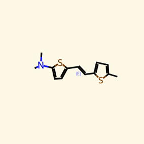 Cc1ccc(/C=C/c2ccc(N(C)C)s2)s1